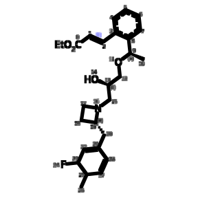 CCOC(=O)/C=C/c1ccccc1[C@@H](C)OC[C@H](O)CN1CC[C@H]1CC1=CC(F)C(C)C=C1